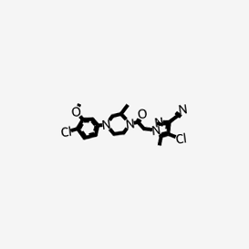 COc1cc(N2CCN(C(=O)Cn3nc(C#N)c(Cl)c3C)C(C)C2)ccc1Cl